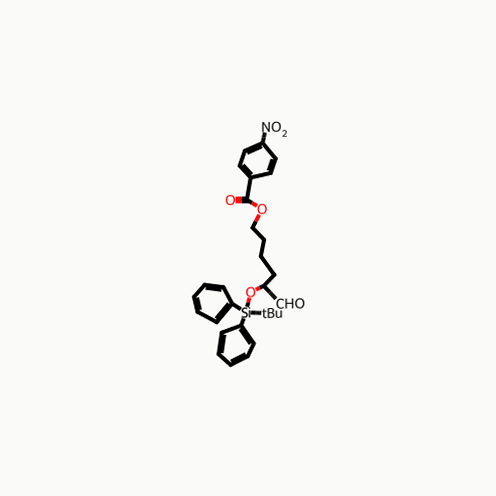 CC(C)(C)[Si](OC(C=O)CCCCOC(=O)c1ccc([N+](=O)[O-])cc1)(c1ccccc1)c1ccccc1